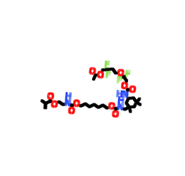 C=C(C)C(=O)OCCNC(=O)OCCCCCCCOC(=O)NCC1(C)CC(NC(=O)OCC(F)(F)OCCC(F)(F)COC(C)=O)CC(C)(C)C1